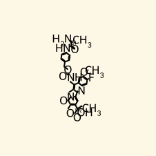 CC[C@@]1(O)C(=O)OCc2c1cc1n(c2=O)Cc2c-1nc1cc(F)c(OC)cc1c2CNC(=O)OCc1ccc(NC(=O)[C@H](C)N)cc1